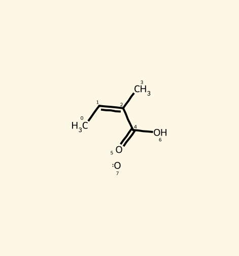 CC=C(C)C(=O)O.[O]